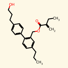 C=C(CC)C(=O)OCc1cc(CCC)ccc1-c1ccc(CCCO)cc1